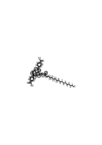 CCCCCCCCCCCCCCCCCC(=O)OCC(O)C1OC(c2ccc(C(C)C)cc2)OC2COC(c3ccc(C(C)C)cc3)OC21